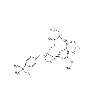 C/C=C(/C)C(=O)OC[C@H]1[C@@H](Cc2ccc(C(C)(C)C)cc2)CO[C@@H]1c1cc(OC)c(OC)c(OC)c1